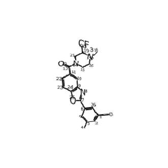 Cc1cc(C)cc(-c2nc3cc(C(=O)N4CCN(C)C(C(F)(F)F)C4)ccc3o2)c1